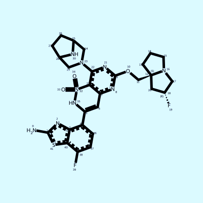 Nc1nc2c(C3=Cc4nc(OC[C@@]56CCCN5C[C@H](F)C6)nc(N5CC6CCC(C5)N6)c4S(=O)(=O)N3)ccc(F)c2s1